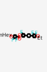 CCCCCCOc1ccc(C(=O)Oc2ccc(C3CCC(c4ccc(OCC)c(F)c4F)CC3)cc2F)c(F)c1F